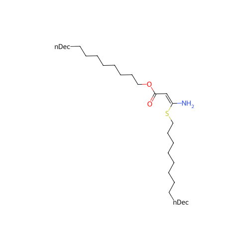 CCCCCCCCCCCCCCCCCCOC(=O)C=C(N)SCCCCCCCCCCCCCCCCCC